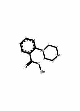 CC(C)(C)OC(=O)c1ccc[c]c1N1CCNCC1